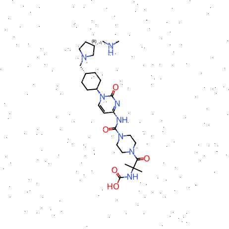 CNC[C@H]1CCN(C[C@H]2CC[C@H](n3ccc(NC(=O)N4CCN(C(=O)C(C)(C)NC(=O)O)CC4)nc3=O)CC2)C1